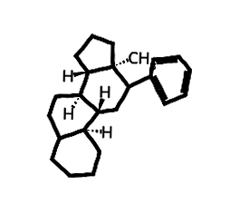 C[C@@]12CCC[C@H]1[C@@H]1CCC3CCCC[C@@H]3[C@H]1CC2c1ccccc1